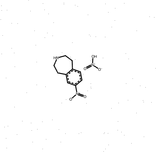 O=[N+]([O-])O.O=[N+]([O-])c1ccc2c(c1)CCNCC2